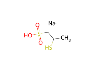 CC(S)CS(=O)(=O)O.[Na]